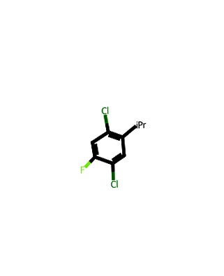 CC(C)c1cc(Cl)c(F)cc1Cl